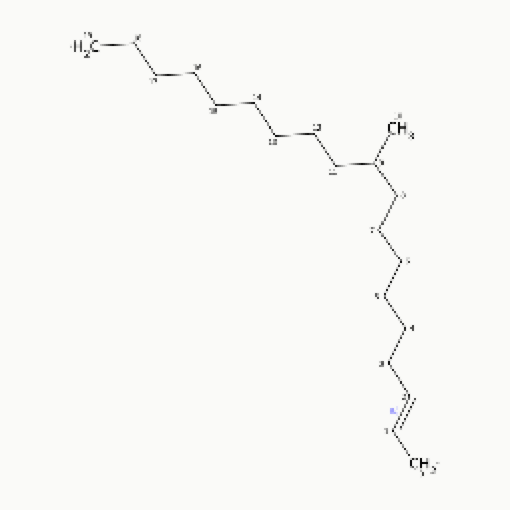 [CH2]/C=C/CCCCCCC(C)CCCCCCCC[CH2]